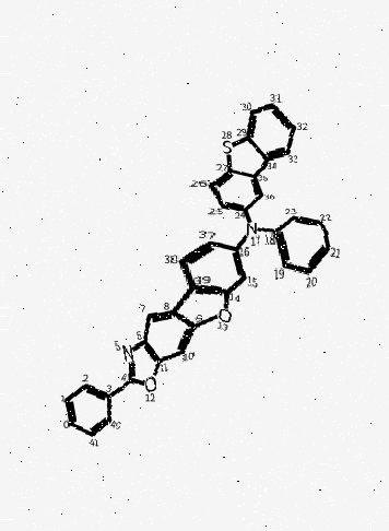 c1ccc(-c2nc3cc4c(cc3o2)oc2cc(N(c3ccccc3)c3ccc5sc6ccccc6c5c3)ccc24)cc1